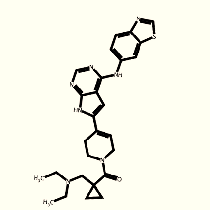 CCN(CC)CC1(C(=O)N2CC=C(c3cc4c(Nc5ccc6ncsc6c5)ncnc4[nH]3)CC2)CC1